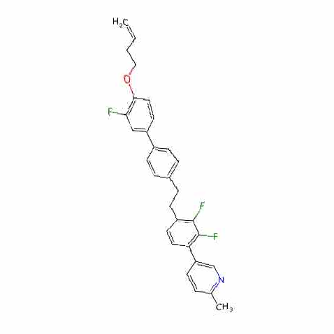 C=CCCOc1ccc(-c2ccc(CCc3ccc(-c4ccc(C)nc4)c(F)c3F)cc2)cc1F